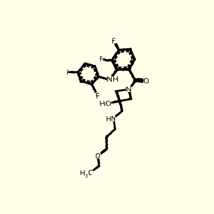 CCOCCCNCC1(O)CN(C(=O)c2ccc(F)c(F)c2Nc2ccc(I)cc2F)C1